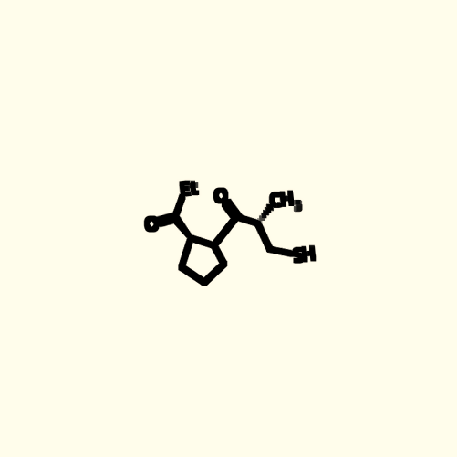 CCC(=O)[C@@H]1CCCC1C(=O)[C@H](C)CS